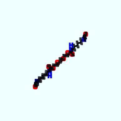 O=C=NCCCCCCNC(=O)OCCOCCOCCOC(=O)NCCCCCCN=C=O